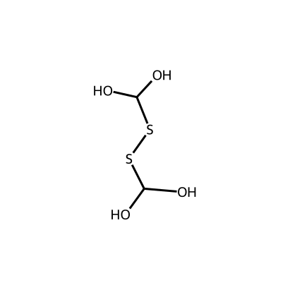 OC(O)SSC(O)O